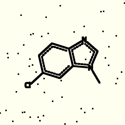 Cn1cnc2ccc(Cl)cc21